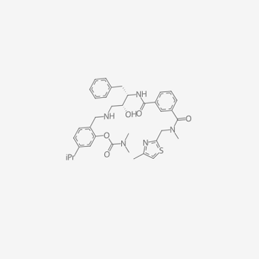 Cc1csc(CN(C)C(=O)c2cccc(C(=O)N[C@@H](Cc3ccccc3)[C@H](O)CNCc3ccc(C(C)C)cc3OC(=O)N(C)C)c2)n1